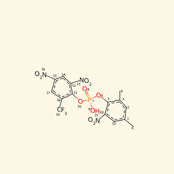 Cc1cc(C)c(OP(=O)(O)Oc2c([N+](=O)[O-])cc([N+](=O)[O-])cc2C(F)(F)F)c([N+](=O)[O-])c1